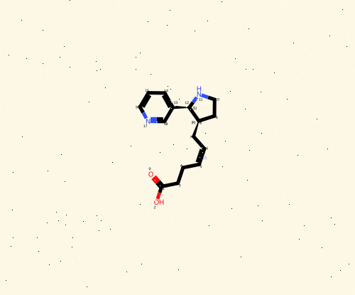 O=C(O)CC/C=C\C[C@@H]1CCN[C@@H]1c1cccnc1